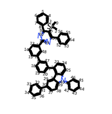 C[Si]1(C)c2ccccc2-c2nc(-c3cccc(-c4cccc(-c5cccc6c5c5cc(-c7ccccc7)ccc5n6-c5ccccc5)c4)c3)nc(-c3ccccc3)c21